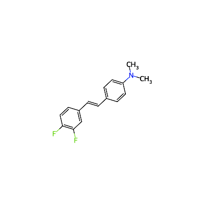 CN(C)c1ccc(/C=C/c2ccc(F)c(F)c2)cc1